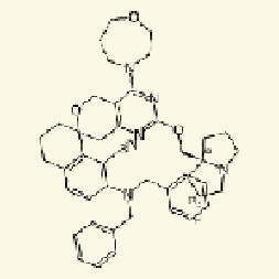 N#Cc1c(N(Cc2ccccc2)Cc2ccccc2)ccc2c1C1(CCC2)Cc2nc(OC[C@@]34CCCN3C[C@H](F)C4)nc(N3CCCOCC3)c2CO1